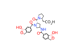 O=C(O)C[C@@H]1CCCN1C(=O)[C@@H]1C[C@@H](NC(=O)c2ccc3c(c2)B(O)OC3)CN1C(=O)c1ccc2c(c1)B(O)OC2